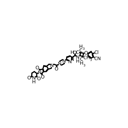 CC1(C)[C@H](NC(=O)c2ccc(N3CCN(C(=O)CN4Cc5cc6c(cc5C4)C(=O)N(C4CCC(=O)NC4=O)C6=O)CC3)nn2)C(C)(C)[C@H]1Oc1ccc(C#N)c(Cl)c1